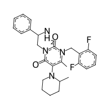 Cc1c(N2CCCCC2C)c(=O)n(CC(N)c2ccccc2)c(=O)n1Cc1c(F)cccc1F